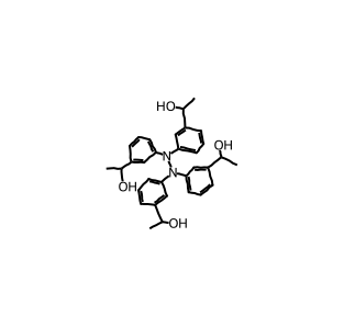 CC(O)c1cccc(N(c2cccc(C(C)O)c2)N(c2cccc(C(C)O)c2)c2cccc(C(C)O)c2)c1